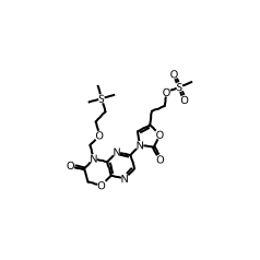 CS(C)(C)CCOCN1C(=O)COc2ncc(-n3cc(CCOS(C)(=O)=O)oc3=O)nc21